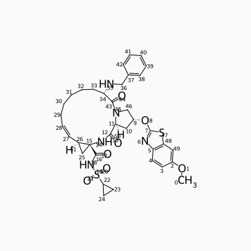 COc1ccc2nc(O[C@@H]3C[C@H]4C(=O)N[C@]5(C(=O)NS(=O)(=O)C6CC6)C[C@H]5/C=C\CCCCC[C@H](NCc5ccccc5)C(=O)N4C3)sc2c1